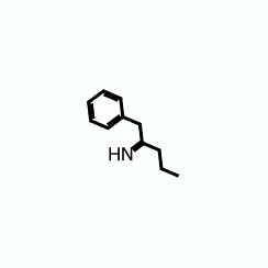 CCCC(=N)Cc1ccccc1